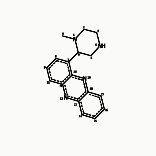 CN1CCNCC1c1cccc2nc3ccccc3nc12